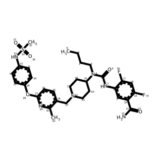 CCCCN(C(=O)Nc1cc(C(N)=O)c(F)cc1F)C1CCN(Cc2ccc(Oc3ccc(NS(C)(=O)=O)cc3)nc2C)CC1